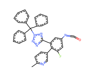 Cc1ccc(-c2c(F)cc(N=C=O)cc2-c2nnn(C(c3ccccc3)(c3ccccc3)c3ccccc3)n2)cn1